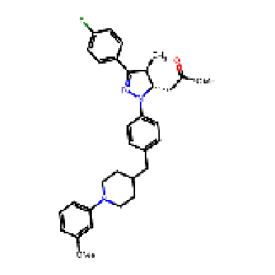 COC(=O)C[C@H]1[C@H](C)C(c2ccc(F)cc2)=NN1c1ccc(CC2CCN(c3cccc(OC)c3)CC2)cc1